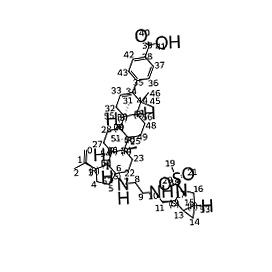 C=C(C)[C@@H]1CC[C@]2(NCCNC[C@@H]3C4C[C@H]4CN3S(C)(=O)=O)CC[C@]3(C)[C@H](CC[C@@H]4[C@@]5(C)CC=C(c6ccc(C(=O)O)cc6)C(C)(C)[C@@H]5CC[C@]43C)[C@@H]12